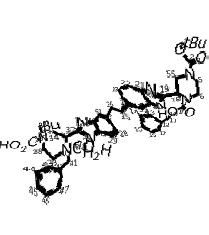 CC(C)(C)OC(=O)N1CCN(C(=O)OCc2ccccc2)C(c2nc3ccc(CCc4ccc5[nH]c(C6C[N+](C(=O)O)(C(C)(C)C)CC[N+]6(Cc6ccccc6)C(=O)O)nc5c4)cc3[nH]2)C1